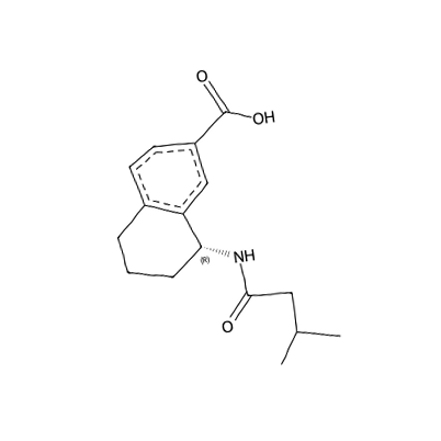 CC(C)CC(=O)N[C@@H]1CCCc2ccc(C(=O)O)cc21